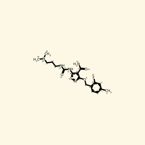 Cc1ccc(COc2nsc(NC(=O)NCCCN(C)C)c2C(N)=O)c(F)c1